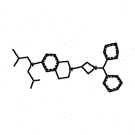 CC(C)CN(CC(C)C)c1ccc2c(c1)CCN(C1CN(C(c3ccccc3)c3ccccc3)C1)C2